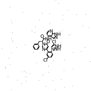 O=C(Nc1ccnc2[nH]ncc12)[C@H](Cc1ccccc1)n1cnc(-c2cc(Cl)ccc2N2C=C(Cl)NN2)cc1=O